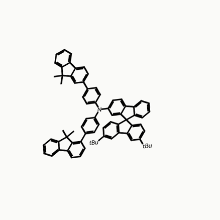 CC(C)(C)c1ccc2c(c1)-c1cc(C(C)(C)C)ccc1C21c2ccccc2-c2ccc(N(c3ccc(-c4ccc5c(c4)C(C)(C)c4ccccc4-5)cc3)c3ccc(-c4cccc5c4C(C)(C)c4ccccc4-5)cc3)cc21